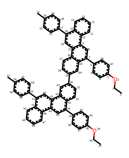 CCOc1ccc(-c2cc3c4ccccc4c(-c4ccc(C)cc4)cc3c3ccc(-c4ccc5c(-c6ccc(OCC)cc6)cc6c7ccccc7c(-c7ccc(C)cc7)cc6c5c4)cc23)cc1